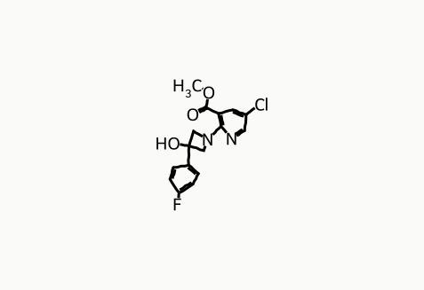 COC(=O)c1cc(Cl)cnc1N1CC(O)(c2ccc(F)cc2)C1